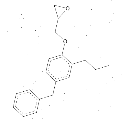 CCCc1cc(Cc2ccccc2)ccc1OCC1CO1